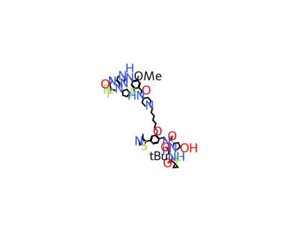 COc1cc(C(=O)NC2CCN(CCCCCCOc3cc(-c4scnc4C)ccc3CNC(=O)[C@@H]3C[C@@H](O)CN3C(=O)[C@@H](NC(=O)C3(F)CC3)C(C)(C)C)CC2)c(F)cc1Nc1ncc2c(n1)N(C1CCCC1)CC(F)(F)C(=O)N2C